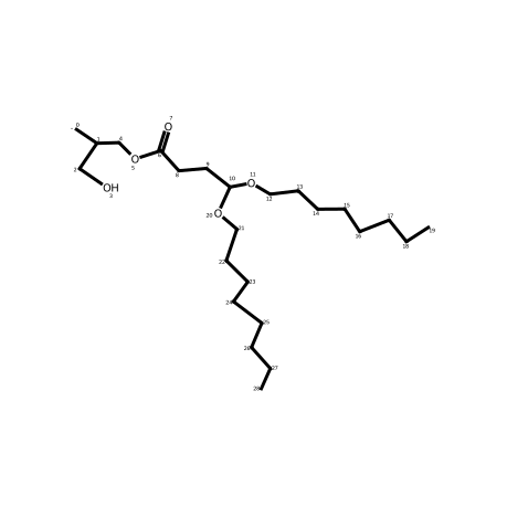 [CH2]C(CO)COC(=O)CCC(OCCCCCCCC)OCCCCCCCC